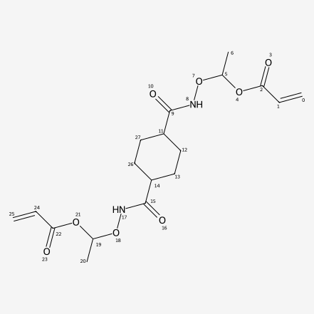 C=CC(=O)OC(C)ONC(=O)C1CCC(C(=O)NOC(C)OC(=O)C=C)CC1